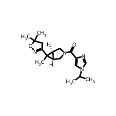 CC(C)n1cnc(C(=O)N2C[C@@H]3[C@H](C2)C3(C)C2=NOC(C)(C)C2)c1